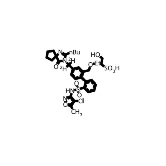 O=S(=O)(O)CCO.[2H]C([2H])(c1ccc(-c2ccccc2S(=O)(=O)Nc2noc(C)c2Cl)c(COCC)c1)N1C(=O)C2(CCCC2)N=C1CCCC